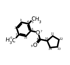 Cc1ccc(C)c(OC(=O)C2CCCC2)c1